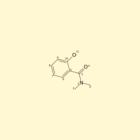 CN(C)C(=O)c1ccccc1[O]